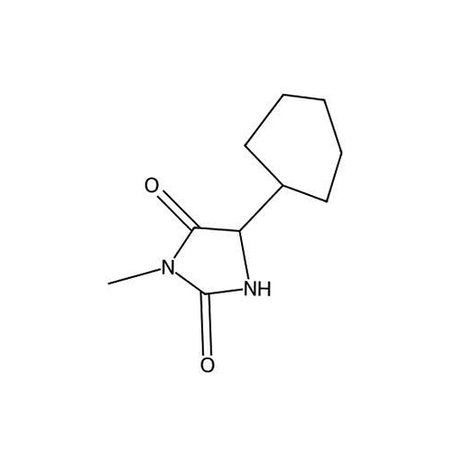 CN1C(=O)NC(C2CCCCC2)C1=O